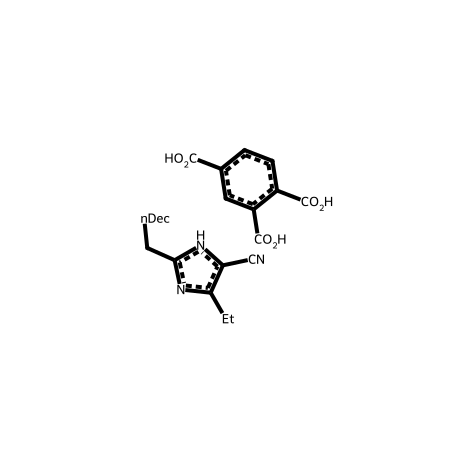 CCCCCCCCCCCc1nc(CC)c(C#N)[nH]1.O=C(O)c1ccc(C(=O)O)c(C(=O)O)c1